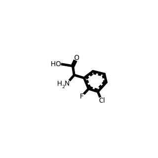 NC(C(=O)O)c1cccc(Cl)c1F